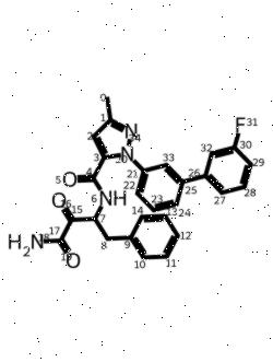 Cc1cc(C(=O)NC(Cc2ccccc2)C(=O)C(N)=O)n(-c2cccc(-c3cccc(F)c3)c2)n1